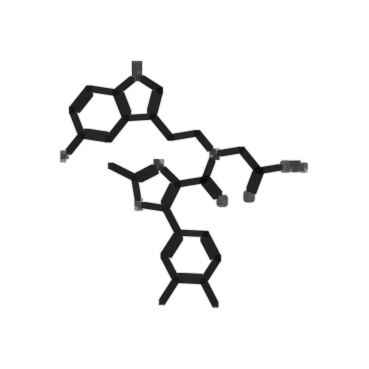 COC(=O)CN(CCc1c[nH]c2ccc(F)cc12)C(=O)c1nc(C)sc1-c1ccc(C)c(C)c1